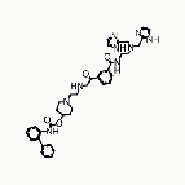 O=C(Nc1ccccc1-c1ccccc1)OC1CCN(CCNCC(=O)c2cccc(C(=O)NCCN(Cc3ncc[nH]3)Cc3ncc[nH]3)c2)CC1